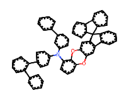 c1ccc(-c2cccc(N(c3ccc(-c4ccccc4-c4ccccc4)cc3)c3cccc4c3Oc3cc5c(cc3O4)-c3ccccc3C53c4ccccc4-c4ccccc43)c2)cc1